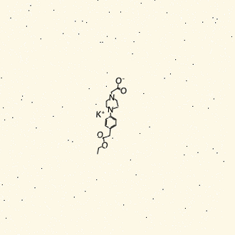 CCOC(=O)Cc1ccc(N2CCN(CC(=O)[O-])CC2)cc1.[K+]